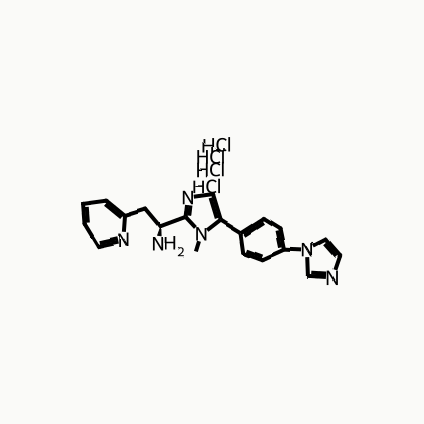 Cl.Cl.Cl.Cl.Cn1c(-c2ccc(-n3ccnc3)cc2)cnc1[C@@H](N)Cc1ccccn1